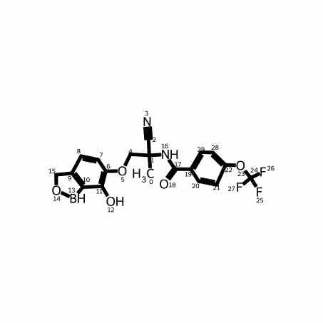 CC(C#N)(COc1ccc2c(c1O)BOC2)NC(=O)c1ccc(OC(F)(F)F)cc1